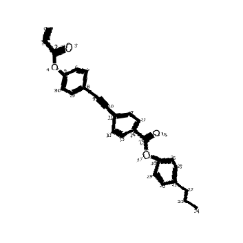 C=CC(=O)Oc1ccc(C#Cc2ccc(C(=O)Oc3ccc(CCC)cc3)cc2)cc1